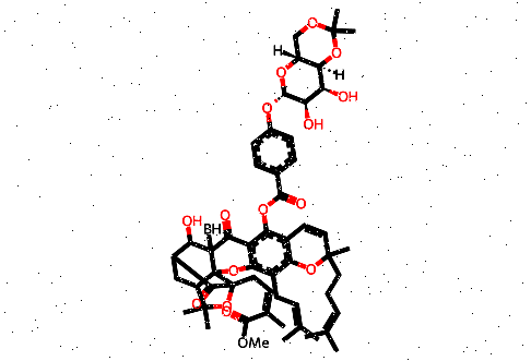 BC12C(=O)c3c(OC(=O)c4ccc(O[C@@H]5O[C@@H]6COC(C)(C)O[C@H]6[C@@H](O)[C@H]5O)cc4)c4c(c(CC=C(C)C)c3OC13C1CC(C(=O)C3(C/C=C(/C)C(=O)OC)OC1(C)C)C2O)OC(C)(CCC=C(C)C)C=C4